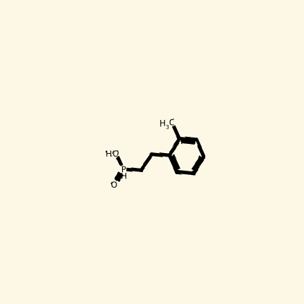 Cc1ccccc1CC[PH](=O)O